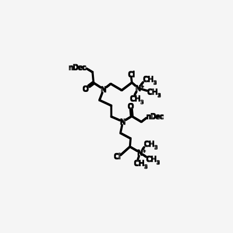 CCCCCCCCCCCC(=O)N(CCCN(CCC(Cl)[N+](C)(C)C)C(=O)CCCCCCCCCCC)CCC(Cl)[N+](C)(C)C